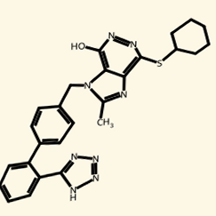 Cc1nc2c(SC3CCCCC3)nnc(O)c2n1Cc1ccc(-c2ccccc2-c2nnn[nH]2)cc1